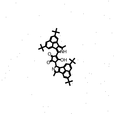 CC1=NC(C2C(=O)C(=O)C(c3[nH]c(C)c4c3-c3cc(C(C)(C)C)cc5cc(C(C)(C)C)cc-4c35)=C2O)C2=C1c1cc(C(C)(C)C)cc3cc(C(C)(C)C)cc2c13